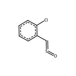 O=S=[C]c1ccccc1Cl